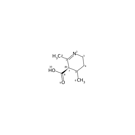 CC1=NCCC(C)[C@H]1C(=O)O